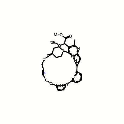 COC(=O)C(OC(C)(C)C)c1c(C)nc2cc3nn2c1N1CCC(C)(CC1)OC/C=C/CCc1ccn(n1)-c1cccc-3c1